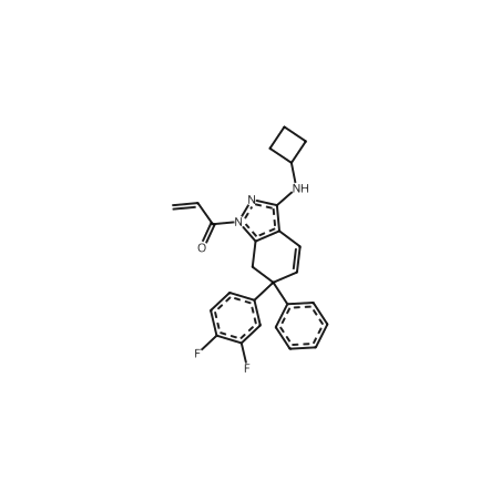 C=CC(=O)n1nc(NC2CCC2)c2c1CC(c1ccccc1)(c1ccc(F)c(F)c1)C=C2